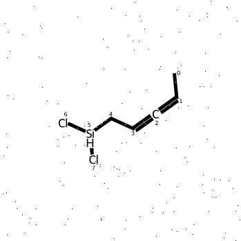 CC=C=CC[SiH](Cl)Cl